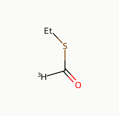 [3H]C(=O)SCC